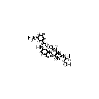 Cc1ccc(NC(=O)c2cccc(C(F)(F)F)c2)cc1N1Cc2cnc(NC(C)CO)nc2N(C)C1=O